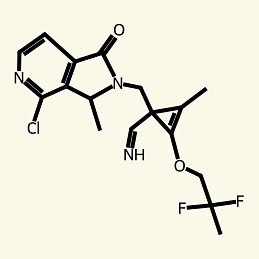 CC1=C(OCC(C)(F)F)C1(C=N)CN1C(=O)c2ccnc(Cl)c2C1C